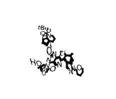 COc1nc(-c2c(Cl)c(C)cc3c2cnn3C2CCCCO2)c(F)c2nc(OC[C@]34CCC[C@H]3N(C(=O)OC(C)(C)C)CCC4)nc(N3CCOCC(C)(O)C3)c12